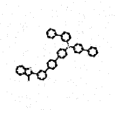 Cc1c(-c2cccc(-c3ccc(-c4ccc(N(c5ccc(-c6ccccc6)cc5)c5cccc(-c6ccccc6)c5)cc4)cc3)c2)oc2ccccc12